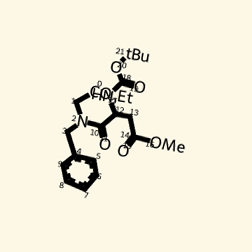 CCOC(=O)CN(Cc1ccccc1)C(=O)C(CC(=O)OC)NC(=O)OC(C)(C)C